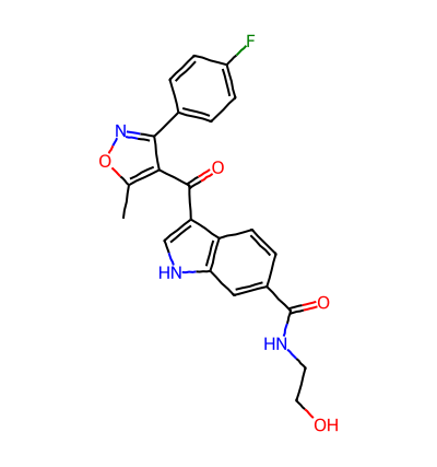 Cc1onc(-c2ccc(F)cc2)c1C(=O)c1c[nH]c2cc(C(=O)NCCO)ccc12